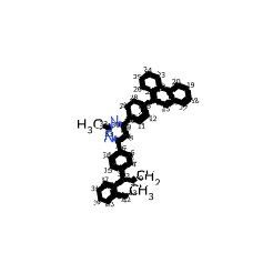 C=C/C(c1ccc(-c2cc(-c3ccc(-c4cc5ccccc5c5ccccc45)cc3)nc(C)n2)cc1)=c1/cccc/c1=C/C